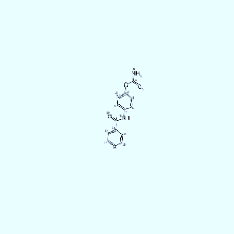 NC(=O)Oc1ccc(NC(=O)c2ccccc2)cn1